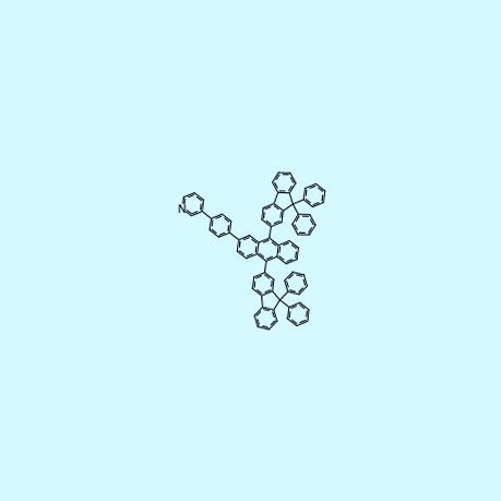 c1ccc(C2(c3ccccc3)c3ccccc3-c3ccc(-c4c5ccccc5c(-c5ccc6c(c5)C(c5ccccc5)(c5ccccc5)c5ccccc5-6)c5cc(-c6ccc(-c7cccnc7)cc6)ccc45)cc32)cc1